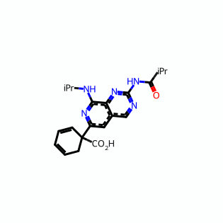 CC(C)Nc1nc(C2(C(=O)O)C=CC=CC2)cc2cnc(NC(=O)C(C)C)nc12